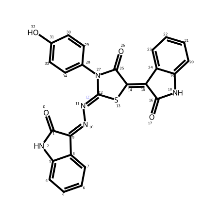 O=C1Nc2ccccc2C1=N/N=C1\SC(=C2C(=O)Nc3ccccc32)C(=O)N1c1ccc(O)cc1